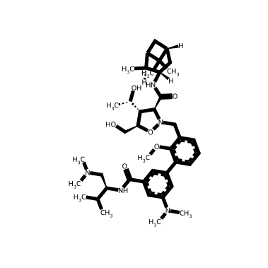 COc1c(CN2O[C@@H](CO)[C@H]([C@H](C)O)[C@H]2C(=O)N[C@H]2C[C@H]3CC([C@@H]2C)C3(C)C)cccc1-c1cc(C(=O)N[C@H](CN(C)C)C(C)C)cc(N(C)C)c1